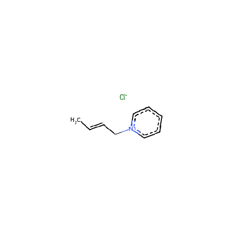 CC=CC[n+]1ccccc1.[Cl-]